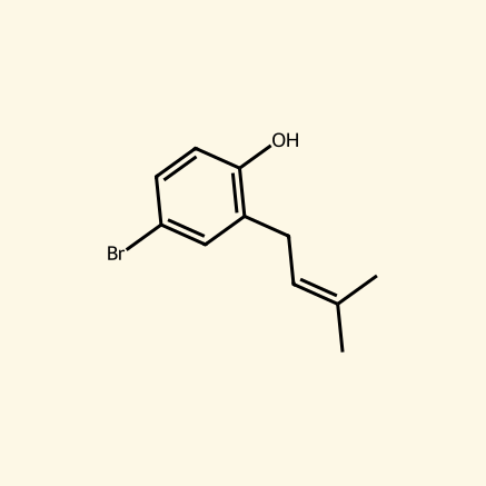 CC(C)=CCc1cc(Br)ccc1O